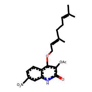 CC(=O)Oc1c(OC/C=C(\C)CCC=C(C)C)c2ccc([N+](=O)[O-])cc2[nH]c1=O